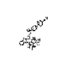 N#Cc1ccc(N2CCN(C(=O)CCO[C@H]3Cc4ccccc4[C@@H]3Nc3cn[nH]c(=O)c3C(F)(F)F)CC2)nc1